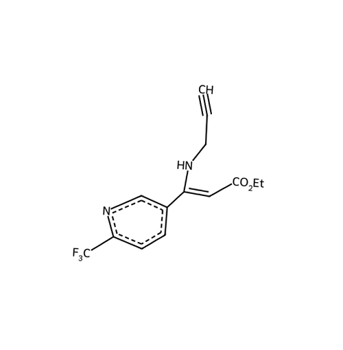 C#CCNC(=CC(=O)OCC)c1ccc(C(F)(F)F)nc1